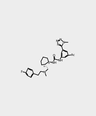 CC(=O)c1cc(NC(=O)N[C@@H]2CCCC[C@H]2CN(C)CCc2ccc(F)cc2)cc(-c2nnnn2C)c1